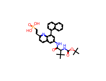 CC(C)(C)OC(=O)NC(C(=O)Nc1cc(-c2cccc3ccccc23)c2nc(C=CP(=O)(O)O)ccc2c1)C(C)(C)C